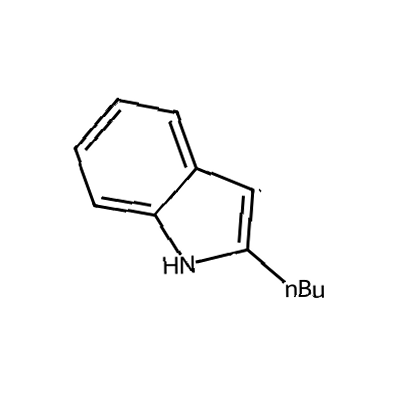 CCCCc1[c]c2ccccc2[nH]1